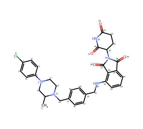 CC1CN(c2ccc(Cl)cc2)CCN1Cc1ccc(CNc2cccc3c2C(=O)N(C2CCC(=O)NC2=O)C3=O)cc1